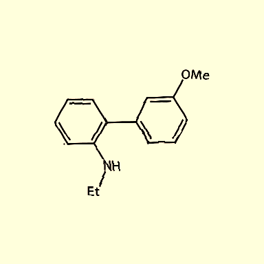 CCNc1[c]cccc1-c1cccc(OC)c1